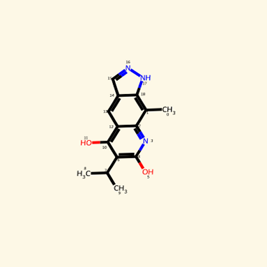 Cc1c2nc(O)c(C(C)C)c(O)c2cc2cn[nH]c12